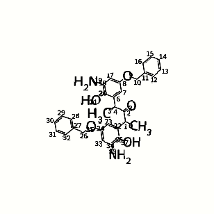 CC(C(=O)C(C)c1cc(OCc2ccccc2)cc(N)c1O)c1cc(OCc2ccccc2)cc(N)c1O